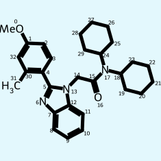 COc1ccc(-c2nc3ccccc3n2CC(=O)N(C2CCCCC2)C2CCCCC2)c(C)c1